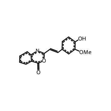 COc1cc(/C=C/c2nc3ccccc3c(=O)o2)ccc1O